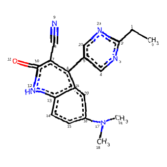 CCc1ncc(-c2c(C#N)c(=O)[nH]c3ccc(N(C)C)cc23)cn1